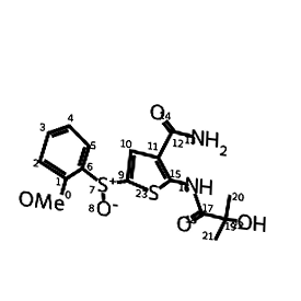 COc1ccccc1[S+]([O-])c1cc(C(N)=O)c(NC(=O)C(C)(C)O)s1